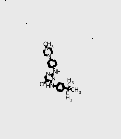 CN1CCN(c2ccc(Nc3ncc(Cl)c(Nc4ccc(C(C)(C)C)cc4)n3)cc2)CC1